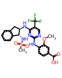 COc1cc(C(=O)O)ccc1Nc1ncc(C(F)(F)F)c(N[C@@H]2Cc3ccccc3[C@H]2NS(C)(=O)=O)n1